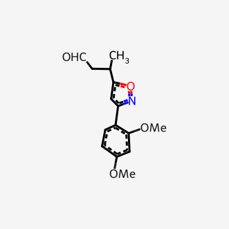 COc1ccc(-c2cc(C(C)CC=O)on2)c(OC)c1